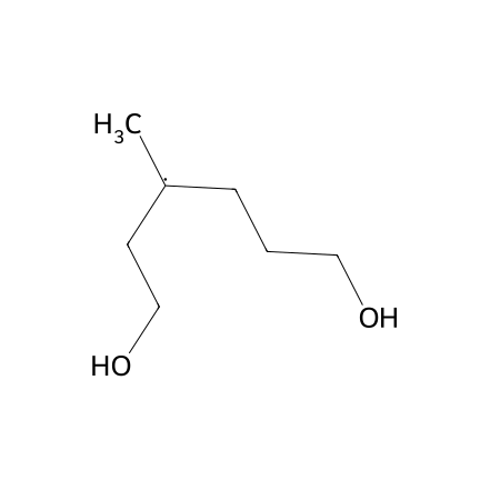 C[C](CCO)CCCO